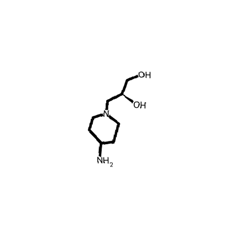 NC1CCN(C[C@H](O)CO)CC1